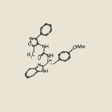 COc1ccc(C[C@@H](NC(=O)Nc2c(-c3ccccc3)noc2C)c2nc3ccccc3[nH]2)cc1